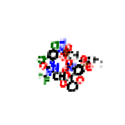 CS(=O)(=O)c1ccc(C(=O)C2C(=O)CCCC2=O)c([N+](=O)[O-])c1.Cc1nn(-c2cc(NS(C)(=O)=O)c(Cl)cc2Cl)c(=O)n1C(F)F